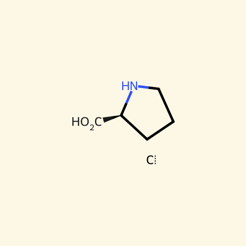 O=C(O)[C@@H]1CCCN1.[C]